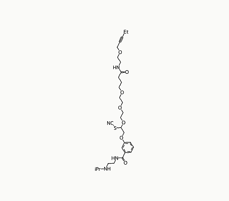 CCC#CCOCCNC(=O)CCCOCCOCCOC(COc1cccc(C(=O)NCCNC(C)C)c1)SC#N